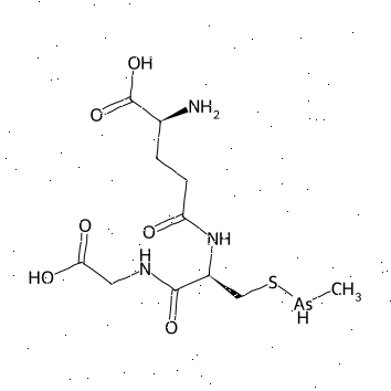 C[AsH]SC[C@H](NC(=O)CC[C@H](N)C(=O)O)C(=O)NCC(=O)O